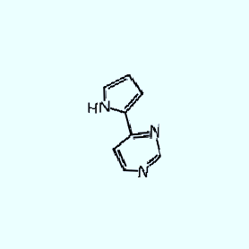 c1c[nH]c(-c2ccncn2)c1